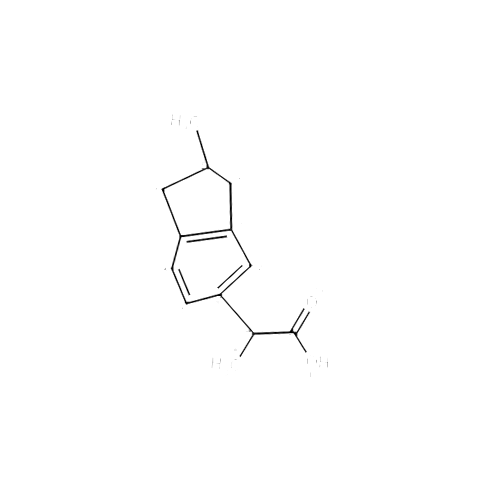 CC1Cc2ccc(C(C)C(=O)O)cc2C1